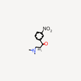 C[C@H](CN(C)C)C(=O)c1cccc([N+](=O)[O-])c1